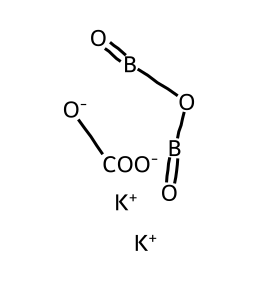 O=BOB=O.O=C([O-])[O-].[K+].[K+]